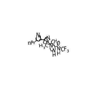 CCCc1cncc(-c2cnc(C(C)(C)N3CCN[C@H](C(=O)NCC(F)(F)F)C3)o2)c1